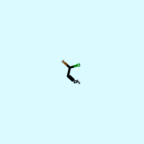 C=CC([S])Cl